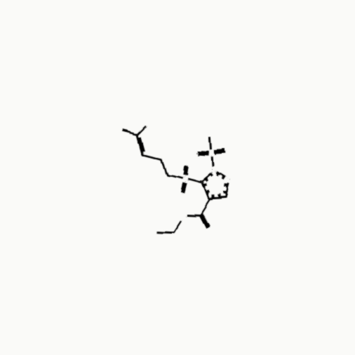 CCOC(=O)c1cnn(S(C)(=O)=O)c1S(=O)(=O)CCC=C(F)F